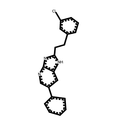 Clc1cccc(CCc2nc3ncc(-c4ccccc4)cc3[nH]2)c1